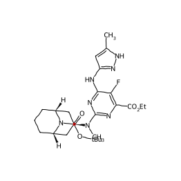 CCOC(=O)c1nc(N(C)[C@@H]2C[C@H]3CCC[C@@H](C2)N3C(=O)OC(C)(C)C)nc(Nc2cc(C)[nH]n2)c1F